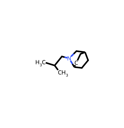 CC(C)CN1CC2CCC1CC2